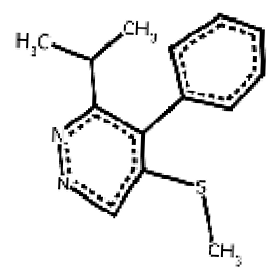 CSc1cnnc(C(C)C)c1-c1ccccc1